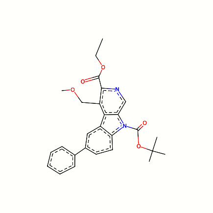 CCOC(=O)c1ncc2c(c1COC)c1cc(-c3ccccc3)ccc1n2C(=O)OC(C)(C)C